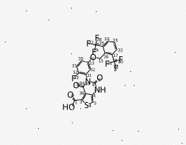 O=C(O)c1scc2[nH]c(=O)n(-c3cc(OCc4c(C(F)(F)F)cccc4C(F)(F)F)ccc3F)c(=O)c12